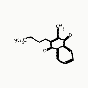 CC1=C(CCCC(=O)O)C(=O)c2ccccc2C1=O